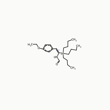 CCC[CH2][Sn]([CH2]CCC)([CH2]CCC)/[C](=C/c1ccc(OCC)cc1)NC=O